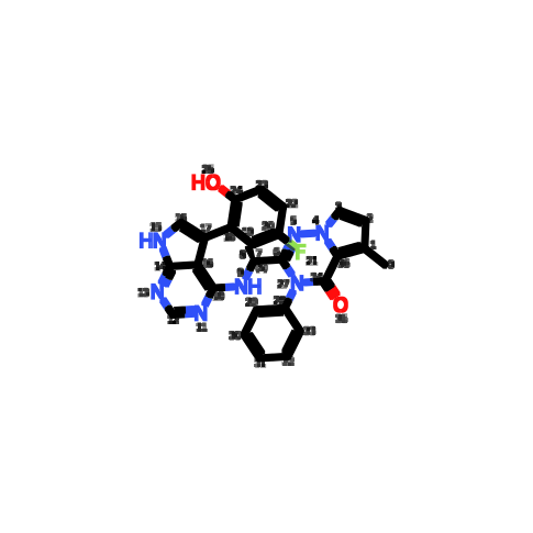 Cc1ccn2nc([C@H](C)Nc3ncnc4[nH]cc(-c5cc(F)ccc5O)c34)n(-c3ccccc3)c(=O)c12